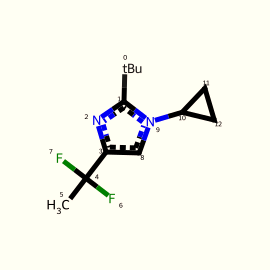 CC(C)(C)c1nc(C(C)(F)F)cn1C1CC1